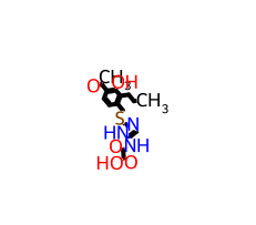 CCCc1c(CSc2ncc(NC(=O)C(=O)O)[nH]2)ccc(C(C)=O)c1O